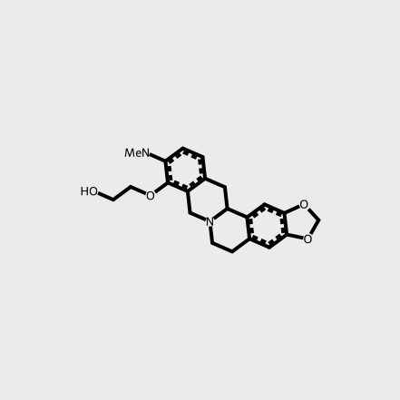 CNc1ccc2c(c1OCCO)CN1CCc3cc4c(cc3C1C2)OCO4